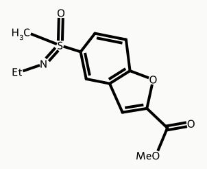 CCN=S(C)(=O)c1ccc2oc(C(=O)OC)cc2c1